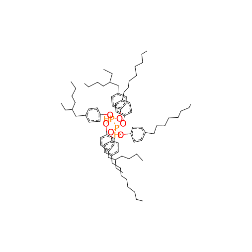 CCCCCCCCc1ccc(O[PH](Oc2ccc(CCCCCCCC)cc2)(Oc2ccc(CCCCCCCC)cc2)[PH](Oc2ccc(CC(CC)CCCC)cc2)(Oc2ccc(CC(CC)CCCC)cc2)Oc2ccc(CC(CC)CCCC)cc2)cc1